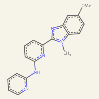 COc1ccc2c(c1)nc(-c1cccc(Nc3ccccn3)n1)n2C